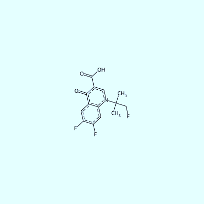 CC(C)(CF)n1cc(C(=O)O)c(=O)c2cc(F)c(F)cc21